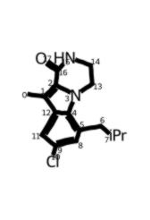 Cc1c2n(c3c(CC(C)C)cc(Cl)cc13)CCNC2=O